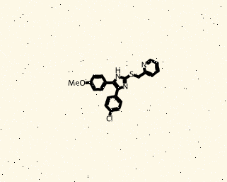 COc1ccc(-c2[nH]c(SCc3ccccn3)nc2-c2ccc(Cl)cc2)cc1